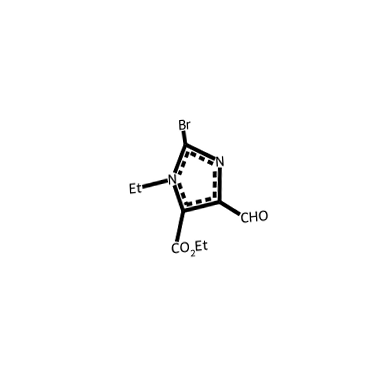 CCOC(=O)c1c(C=O)nc(Br)n1CC